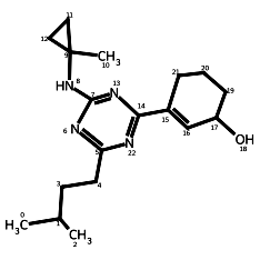 CC(C)CCc1nc(NC2(C)CC2)nc(C2=CC(O)CCC2)n1